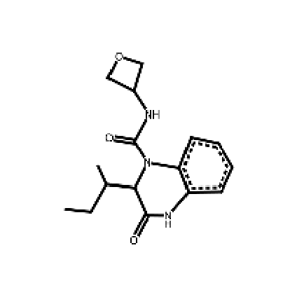 CCC(C)C1C(=O)Nc2ccccc2N1C(=O)NC1COC1